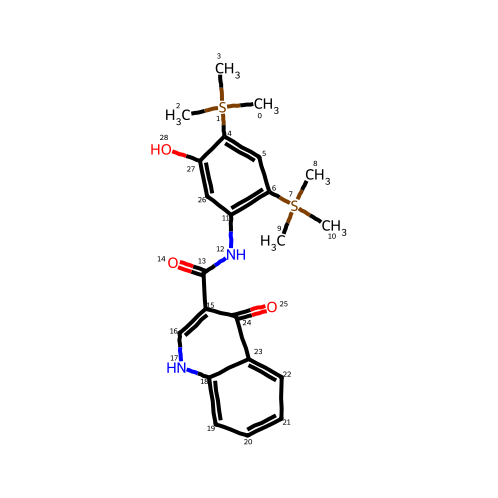 CS(C)(C)c1cc(S(C)(C)C)c(NC(=O)c2c[nH]c3ccccc3c2=O)cc1O